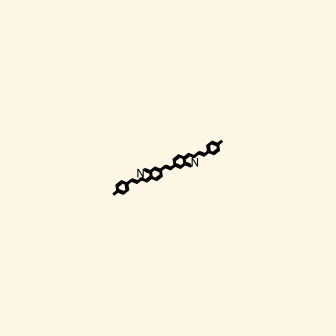 Cc1ccc(/C=C/c2cc3ccc(/C=C/c4ccc5cc(/C=C/c6ccc(C)cc6)ncc5c4)cc3cn2)cc1